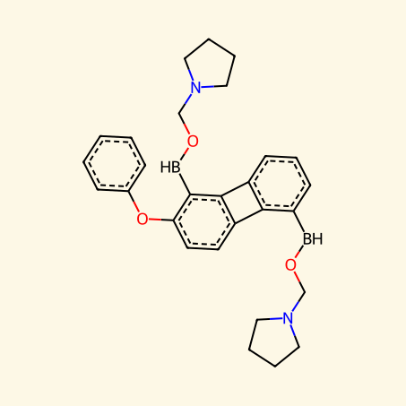 B(OCN1CCCC1)c1cccc2c1-c1ccc(Oc3ccccc3)c(BOCN3CCCC3)c1-2